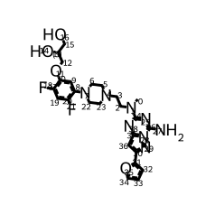 CN(CCN1CCN(c2cc(OC[C@@H](O)CO)c(F)cc2F)CC1)c1nc(N)n2nc(-c3ccco3)cc2n1